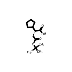 CC(C)(C)OC(=O)C[C@@H](C(=O)O)C1CCCC1